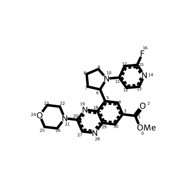 COC(=O)c1cc(C2CCCN2c2ccnc(F)c2)c2nc(N3CCOCC3)cnc2c1